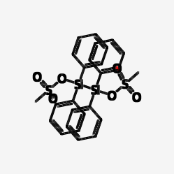 CS(=O)(=O)O[Si](c1ccccc1)(c1ccccc1)[Si](OS(C)(=O)=O)(c1ccccc1)c1ccccc1